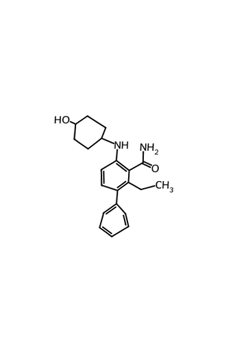 CCc1c(-c2ccccc2)ccc(NC2CCC(O)CC2)c1C(N)=O